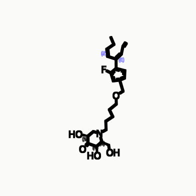 C=C/C=C(\C=C/CC)c1ccc(COCCCCCN2C[C@H](O)C(=O)[C@H](O)[C@@H]2CO)cc1F